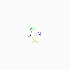 [N].[S]CCl